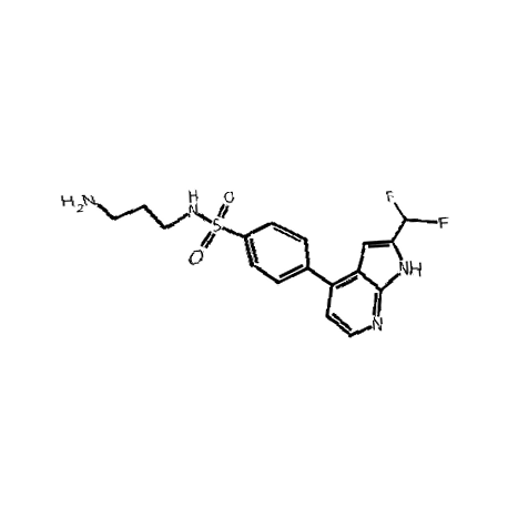 NCCCNS(=O)(=O)c1ccc(-c2ccnc3[nH]c(C(F)F)cc23)cc1